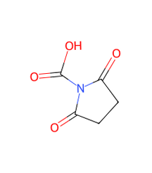 O=C(O)N1C(=O)CCC1=O